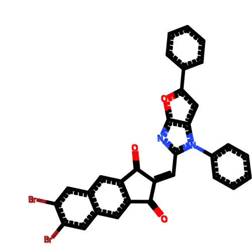 O=C1C(=Cc2nc3oc(-c4ccccc4)cc3n2-c2ccccc2)C(=O)c2cc3cc(Br)c(Br)cc3cc21